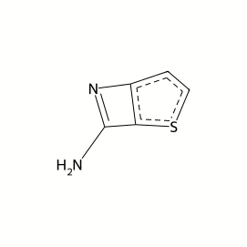 NC1=Nc2ccsc21